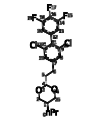 CCC[C@H]1CO[C@H](CCc2cc(Cl)c(-c3cc(F)c(F)c(F)c3)c(Cl)c2)OC1